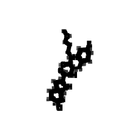 COCCCNC(=O)[C@H](Cc1ccc(F)cc1)NC(=O)c1cc2ccc(Cl)nc2[nH]1